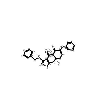 O=C1C(Sc2ccccc2)=CC[C@H]2Cc3onc(OCc4ccccc4)c3C(=O)[C@@]12O